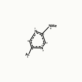 CNc1cnc(C(C)=O)cn1